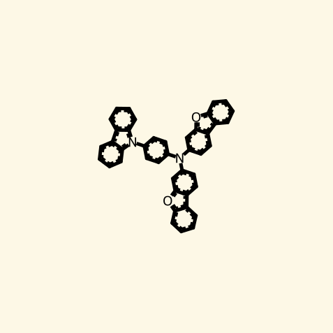 c1ccc2c(c1)oc1cc(N(c3ccc(-n4c5ccccc5c5ccccc54)cc3)c3ccc4c(c3)oc3ccccc34)ccc12